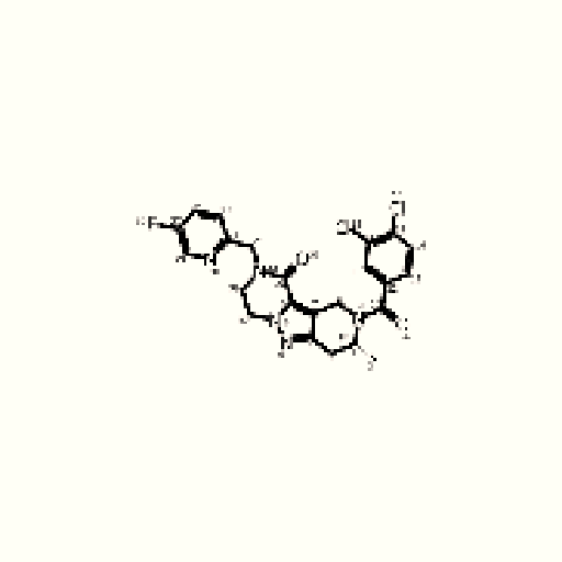 C[C@@H]1Cc2nn3c(c2CN1C(=O)c1ccc(Cl)c(Cl)c1)C(=O)N(Cc1ccc(F)cn1)CC3